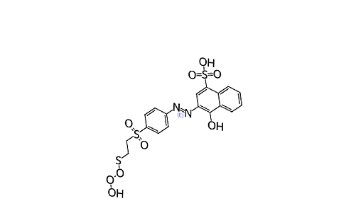 O=S(=O)(O)c1cc(/N=N/c2ccc(S(=O)(=O)CCSOOO)cc2)c(O)c2ccccc12